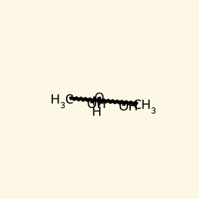 CCCCCCCCCCC(O)CNC(=O)CCCCCCCCCCC(O)CCCCCC